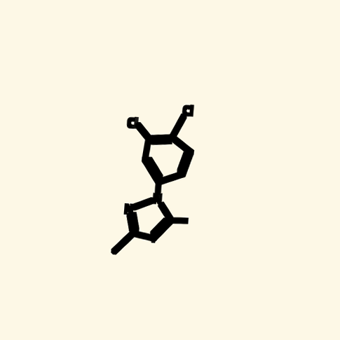 Cc1[c]c(C)n(-c2ccc(Cl)c(Cl)c2)n1